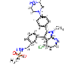 Cn1c(-c2ccc(N3CCNCC3)cc2)c(-c2cccc(CNS(C)(=O)=O)c2)c2c(Cl)ccnc21